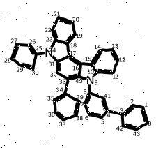 c1ccc(-c2cccc(-n3c4ccccc4c4c5c6ccccc6n(-c6ccccc6)c5cc(-c5ccccc5)c43)c2)cc1